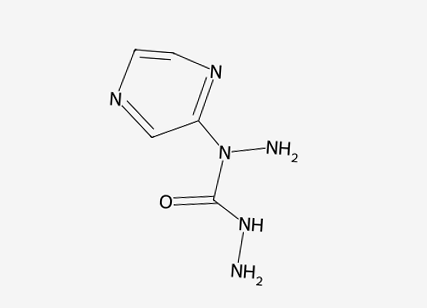 NNC(=O)N(N)c1cnccn1